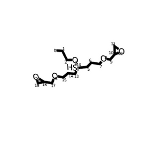 CCCO[SiH](CCCOCC1CO1)CCCOCC1CO1